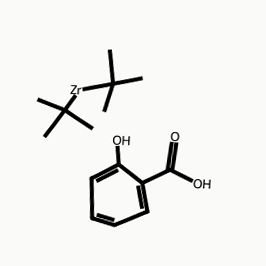 C[C](C)(C)[Zr][C](C)(C)C.O=C(O)c1ccccc1O